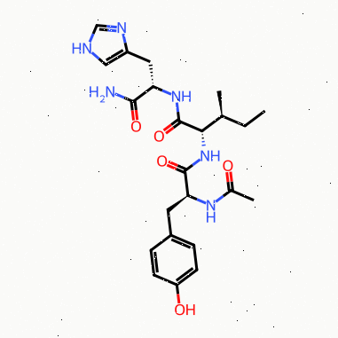 CC[C@H](C)[C@H](NC(=O)[C@H](Cc1ccc(O)cc1)NC(C)=O)C(=O)N[C@@H](Cc1c[nH]cn1)C(N)=O